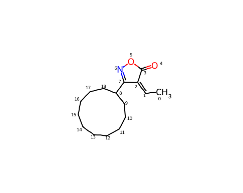 C/C=C1\C(=O)ON=C1C1CCCCCCCCCC1